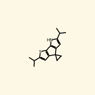 CC(C)c1cc2c([nH]1)-c1sc(C(C)C)cc1C21CC1